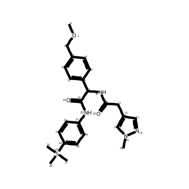 COCc1ccc(C(NC(=O)Cc2cnn(C)c2)C(=O)Nc2ccc(S(C)(C)C)cc2)cc1